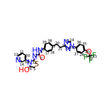 O=C(/N=C1\SCC(O)N1c1cccnc1)Nc1ccc(CCc2ncn(-c3ccc(OC(F)(F)F)cc3)n2)cc1